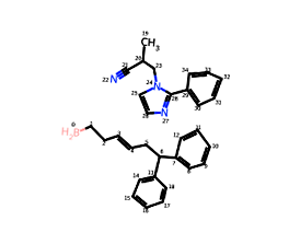 BCCC=CCC(c1ccccc1)c1ccccc1.CC(C#N)Cn1ccnc1-c1ccccc1